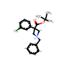 CC(C)(C)OC(=O)C1(c2cccc(Cl)c2)CN(Cc2ccccc2)C1